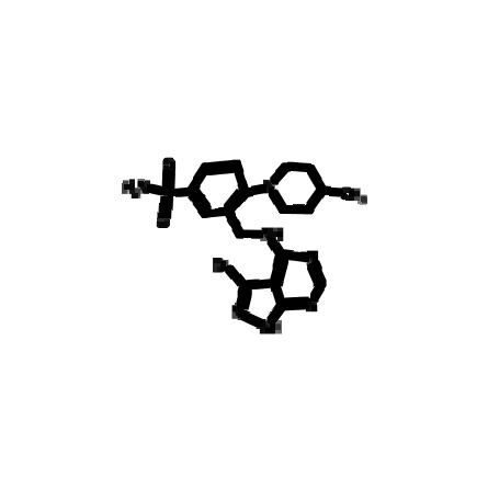 CC1CCN(c2ccc(S(N)(=O)=O)cc2CNc2ncnc3[nH]nc(Br)c23)CC1